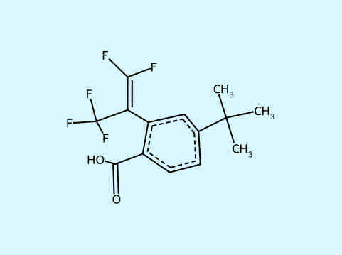 CC(C)(C)c1ccc(C(=O)O)c(C(=C(F)F)C(F)(F)F)c1